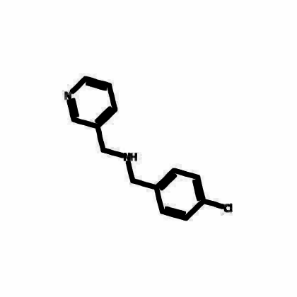 Clc1ccc(CNCc2cccnc2)cc1